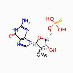 CO[C@@H]1[C@H](O)[C@@H](COP(O)(O)=S)O[C@H]1n1cnc2c(=O)[nH]c(N)nc21